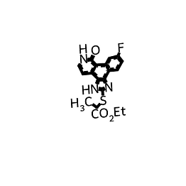 CCOC(=O)C(C)Sc1nc2c3ccc(F)cc3c3c(=O)[nH]ccc3c2[nH]1